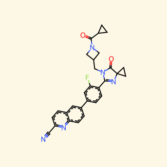 N#Cc1ccc2cc(-c3ccc(C4=NC5(CC5)C(=O)N4CC4CN(C(=O)C5CC5)C4)c(F)c3)ccc2n1